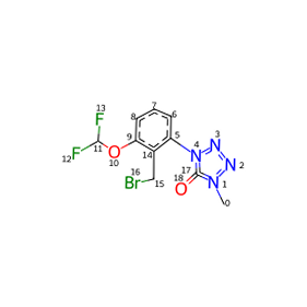 Cn1nnn(-c2cccc(OC(F)F)c2CBr)c1=O